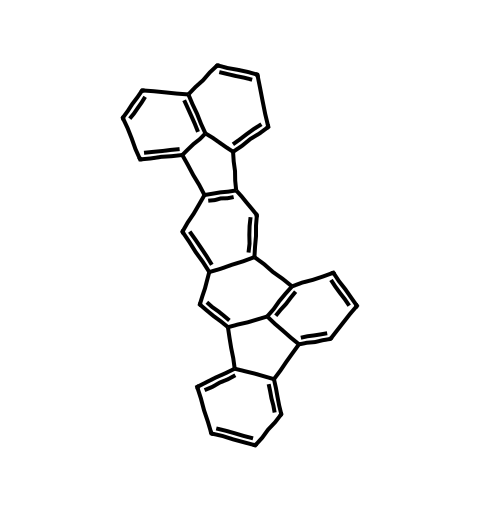 c1ccc2c(c1)c1cccc3c4cc5c(cc4cc2c31)c1cccc2cccc5c21